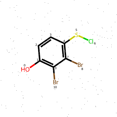 Oc1ccc(SCl)c(Br)c1Br